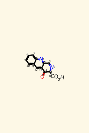 O=C(O)C1N=Cc2nc3ccccc3cc2C1=O